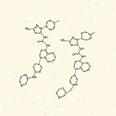 Cc1ccc(-n2nc(C(C)(C)C)cc2NC(=O)Nc2ccc(-c3ccc(Nc4cccnc4)nc3)c3ccccc23)cc1.Cc1ccc(-n2nc(C(C)(C)C)cc2NC(=O)Nc2ccc(-c3ccc(Oc4cccnc4)nc3)c3ccccc23)cc1